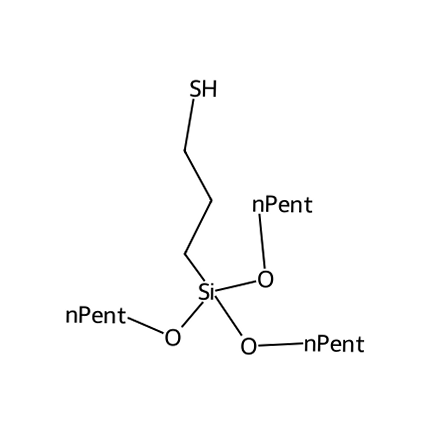 CCCCCO[Si](CCCS)(OCCCCC)OCCCCC